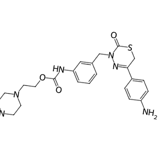 CN1CCN(CCOC(=O)Nc2cccc(CN3N=C(c4ccc(N)cc4)CSC3=O)c2)CC1